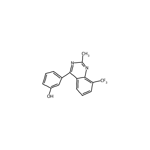 Cc1nc(-c2cccc(O)c2)c2cccc(C(F)(F)F)c2n1